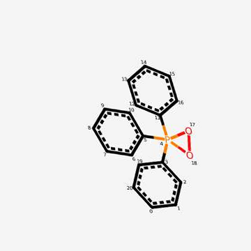 c1ccc(P2(c3ccccc3)(c3ccccc3)OO2)cc1